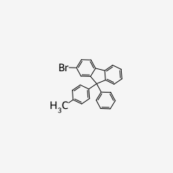 Cc1ccc(C2(c3ccccc3)c3ccccc3-c3ccc(Br)cc32)cc1